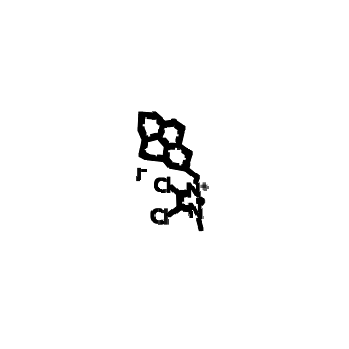 Cn1c[n+](Cc2cc3ccc4cccc5ccc(c2)c3c45)c(Cl)c1Cl.[I-]